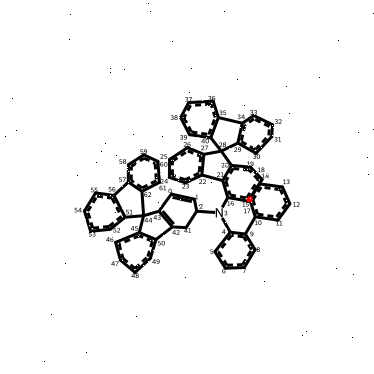 C1=CC(N(c2ccccc2-c2ccccc2)c2cccc3c2-c2ccccc2C32c3ccccc3-c3ccccc32)CC2=C1C1(c3ccccc32)c2ccccc2-c2ccccc21